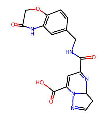 O=C1COc2ccc(CNC(=O)C3=NC4CC=NN4C(C(=O)O)=C3)cc2N1